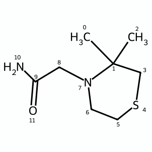 CC1(C)CSCCN1CC(N)=O